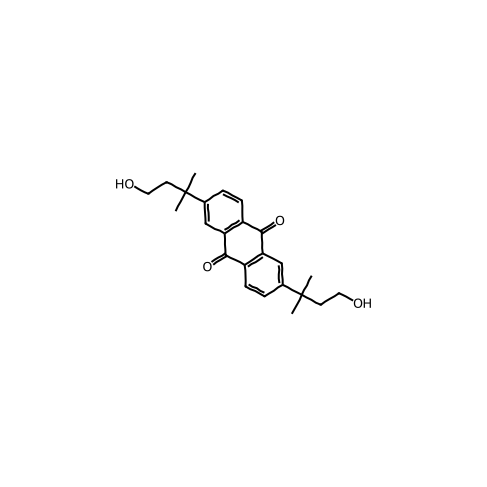 CC(C)(CCO)c1ccc2c(c1)C(=O)c1ccc(C(C)(C)CCO)cc1C2=O